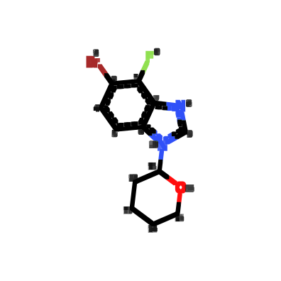 Fc1c(Br)ccc2c1ncn2C1CCCCO1